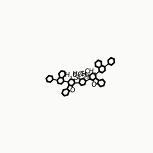 C[Si]1(C)c2cc(-c3ccc(-c4ccccc4)c4ccccc34)c3c(oc4ccccc43)c2-c2ccc3c(c21)[Si](C)(C)c1cc(-c2ccc(-c4ccccc4)c4ccccc24)c2c(oc4ccccc42)c1-3